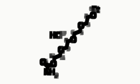 CCOCCOCCOCCOCCOC(N)=O.Cl